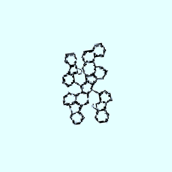 c1ccc2c(c1)ccc1cc3c4c(-c5cccc6c5oc5ccccc56)c5c(cc6c7ccccc7c7cccc5c76)c(-c5cccc6c5oc5ccccc56)c4c4cccc(c12)c43